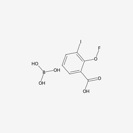 O=C(O)c1cccc(I)c1OF.OB(O)O